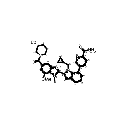 CC[C@@H]1CCCN(C(=O)c2cc(OC)c3c(c2)nc(-c2cc4cccc(-c5ccc(C(N)=O)nc5)c4n2CC2CC2)n3C)C1